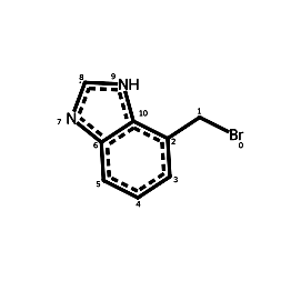 BrCc1cccc2n[c][nH]c12